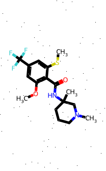 COc1cc(C(F)(F)F)cc(SC)c1C(=O)NC1(C)CCCN(C)C1